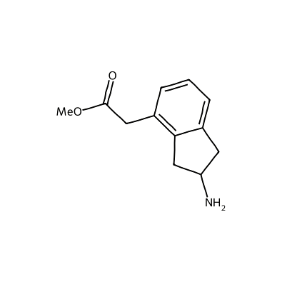 COC(=O)Cc1cccc2c1CC(N)C2